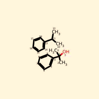 CC(C)(O)c1ccccc1.CC(C)c1ccccc1